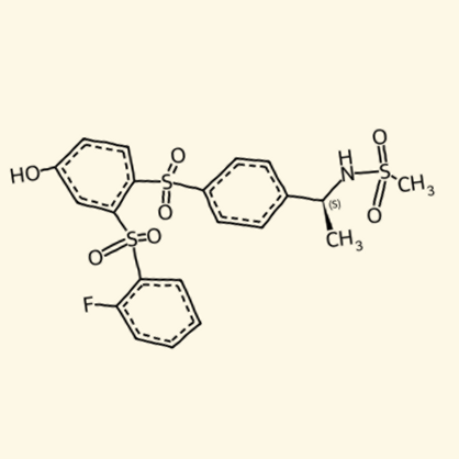 C[C@H](NS(C)(=O)=O)c1ccc(S(=O)(=O)c2ccc(O)cc2S(=O)(=O)c2ccccc2F)cc1